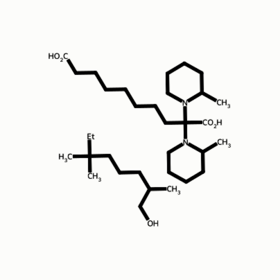 CC1CCCCN1C(CCCCCCCC(=O)O)(C(=O)O)N1CCCCC1C.CCC(C)(C)CCCC(C)CO